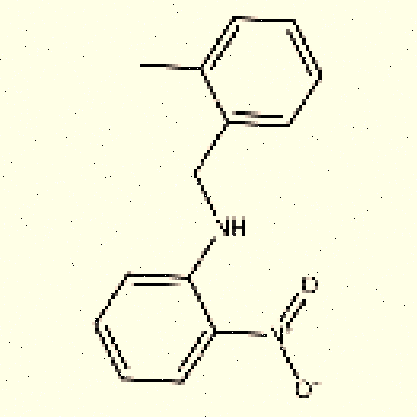 Cc1ccccc1CNc1ccccc1[N+](=O)[O-]